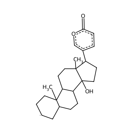 CC12CC[CH]CC1CCC1C2CCC2(C)C(c3ccc(=O)oc3)CCC12O